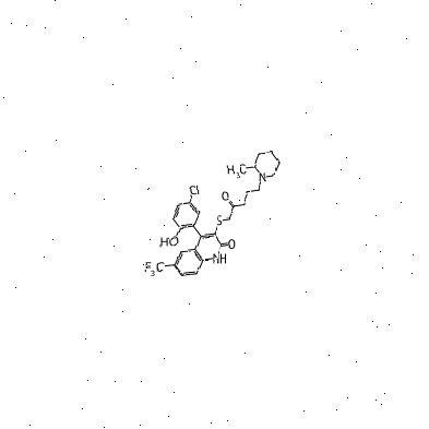 CC1CCCCN1CCCC(=O)CSc1c(-c2cc(Cl)ccc2O)c2cc(C(F)(F)F)ccc2[nH]c1=O